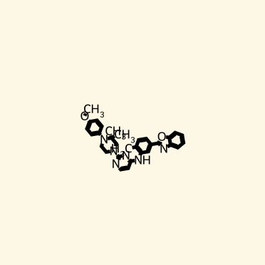 COc1ccc(N2CCN(c3nccc(Nc4cc(-c5nc6ccccc6o5)ccc4C)n3)CC2(C)C)cc1